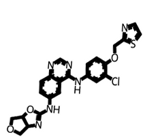 Clc1cc(Nc2ncnc3ccc(NC4=NC5COCC5O4)cc23)ccc1OCc1nccs1